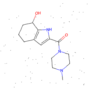 CN1CCN(C(=O)c2cc3c([nH]2)C(O)CCC3)CC1